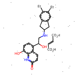 CCc1cc2c(cc1CC)CC(NCC(O)c1ccc(O)c3[nH]c(=O)ccc13)C2.O=C(O)C=CC(=O)O